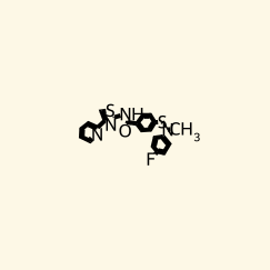 CN(Sc1ccc(C(=O)Nc2nc(-c3ccccn3)cs2)cc1)c1ccc(F)cc1